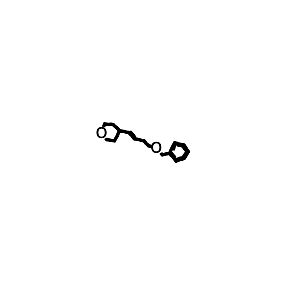 C(=C\C1CCOCC1)/CCOCc1ccccc1